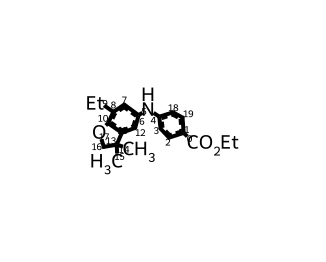 CCOC(=O)c1ccc(Nc2cc(CC)c3c(c2)C(C)(C)CO3)cc1